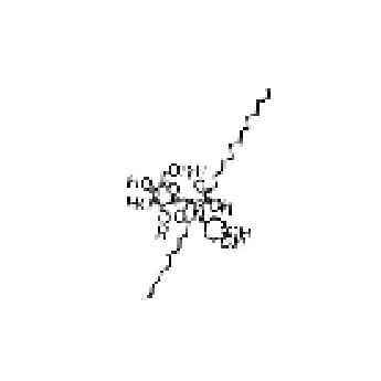 CCCCCCCCCCCCCC[C@@H](O)[C@@H](O)[C@H](CO[C@H]1O[C@H](CO)[C@H](O)[C@H](O)[C@H]1O)N(C(=O)CCCCCCCCCC)C1CCS(O)(O)CC1